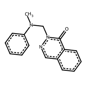 CN(Cn1ncc2ccccc2c1=O)c1ccccc1